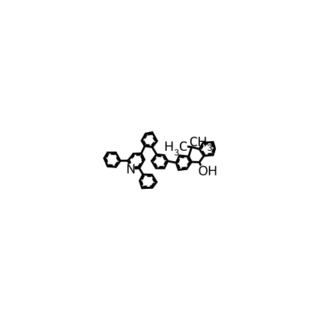 CC1(C)c2ccccc2C(O)c2ccc(-c3cccc(-c4ccccc4-c4cc(-c5ccccc5)nc(-c5ccccc5)c4)c3)cc21